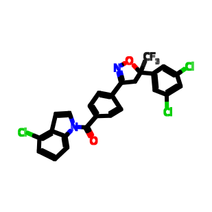 O=C(c1ccc(C2=NOC(c3cc(Cl)cc(Cl)c3)(C(F)(F)F)C2)cc1)n1ccc2c(Cl)cccc21